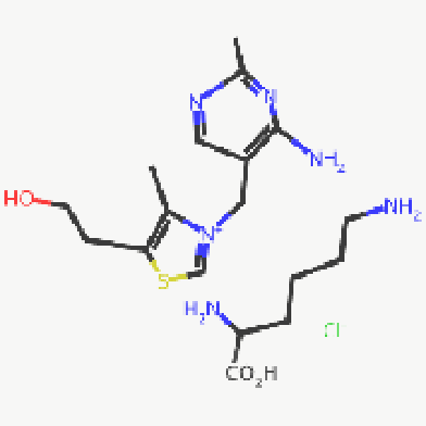 Cc1ncc(C[n+]2csc(CCO)c2C)c(N)n1.NCCCCC(N)C(=O)O.[Cl-]